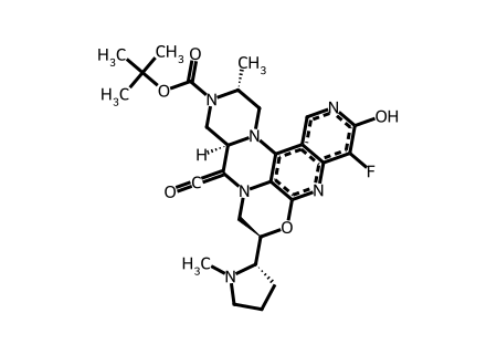 C[C@@H]1CN2c3c4c(nc5c(F)c(O)ncc35)O[C@@H]([C@@H]3CCCN3C)CN4C(=C=O)[C@H]2CN1C(=O)OC(C)(C)C